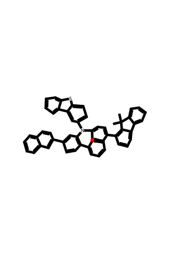 CC1(C)c2ccccc2-c2cccc(-c3ccc(N(c4ccc5sc6ccccc6c5c4)c4cc(-c5ccc6ccccc6c5)ccc4-c4ccccc4)cc3)c21